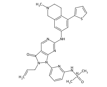 C=CCn1c(=O)c2cnc(Nc3cc4c(c(-c5cccs5)c3)CCN(C)C4)nc2n1-c1cccc(N[SH](C)(C)=O)n1